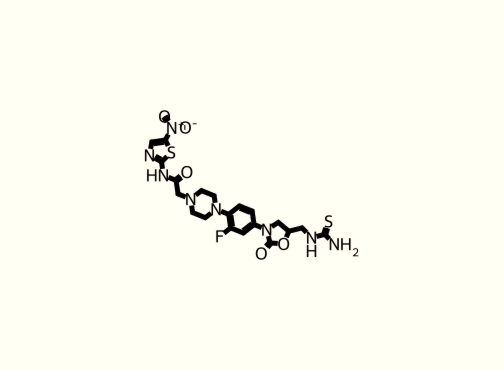 NC(=S)NCC1CN(c2ccc(N3CCN(CC(=O)Nc4ncc([N+](=O)[O-])s4)CC3)c(F)c2)C(=O)O1